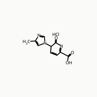 Cc1cn(C2C=CC(C(=O)O)=NC2=O)cn1.Cl